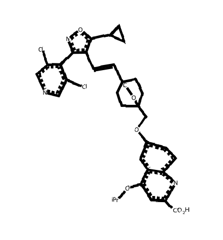 CC(C)Oc1cc(C(=O)O)nc2ccc(OCC34CCC(/C=C/c5c(-c6c(Cl)cncc6Cl)noc5C5CC5)(CC3)CO4)cc12